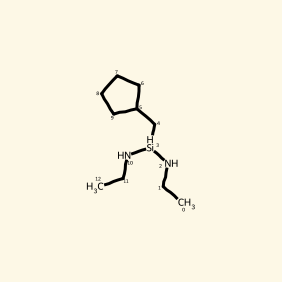 CCN[SiH](CC1CCCC1)NCC